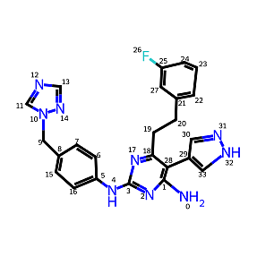 Nc1nc(Nc2ccc(Cn3cncn3)cc2)nc(CCc2cccc(F)c2)c1-c1cn[nH]c1